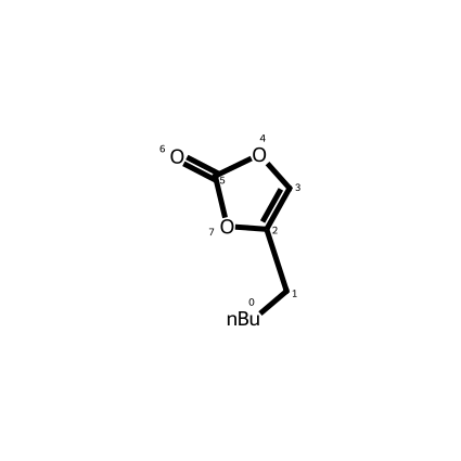 CCCCCc1coc(=O)o1